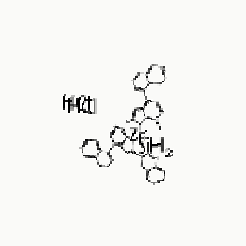 CC1=Cc2c(-c3cccc4ccccc34)ccc(C)c2[CH]1[Zr]([CH3])([CH3])(=[SiH2])[CH]1C(c2ccc3ccccc3c2)=Cc2c(-c3cccc4ccccc34)cccc21.Cl.Cl